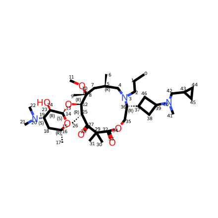 CCCN1C[C@H](C)C[C@@](C)(OC)[C@H](O[C@@H]2O[C@H](C)C[C@H](N(C)C)[C@H]2O)[C@@H](C)C(=O)C(C)(C)C(=O)OC[C@H]1C1CC(N(C)CC2CC2)C1